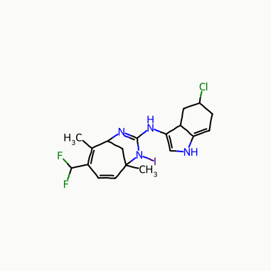 CC1=C(C(F)F)C=CC2(C)CC1N=C(NC1=CNC3=CCC(Cl)CC31)N2I